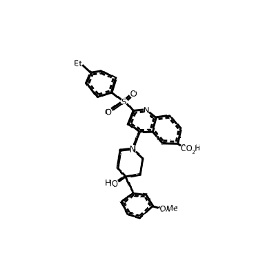 CCc1ccc(S(=O)(=O)c2cc(N3CCC(O)(c4cccc(OC)c4)CC3)c3cc(C(=O)O)ccc3n2)cc1